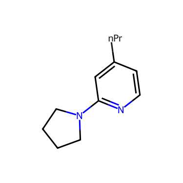 CCCc1ccnc(N2CCCC2)c1